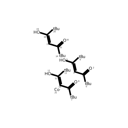 CC(C)(C)C(=O)/C=C(/O)C(C)(C)C.CC(C)(C)C(=O)/C=C(/O)C(C)(C)C.CC(C)(C)C(=O)/C=C(/O)C(C)(C)C.[Co]